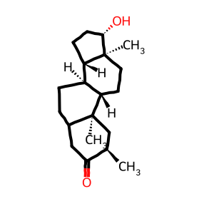 C[C@@H]1C[C@@]2(C)C(CC[C@H]3[C@@H]4CC[C@H](O)[C@@]4(C)CC[C@@H]32)CC1=O